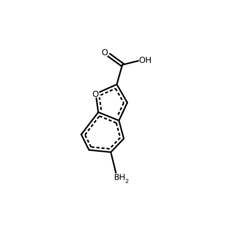 Bc1ccc2oc(C(=O)O)cc2c1